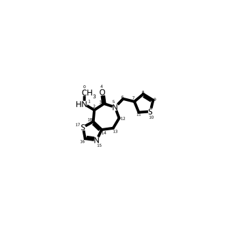 CNC1C(=O)N(CC2C=CSC2)CCc2ncsc21